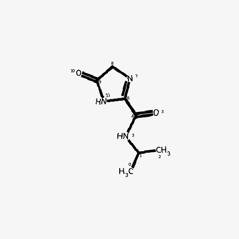 CC(C)NC(=O)C1=NCC(=O)N1